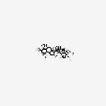 Cc1c(O)ccc2c1CCC1(C)C(C(C)C(C)(C)C(O)C(C)C(C)(C)C)CC[C@@]21C